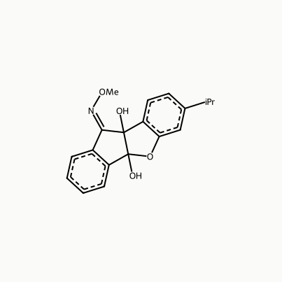 CON=C1c2ccccc2C2(O)Oc3cc(C(C)C)ccc3C12O